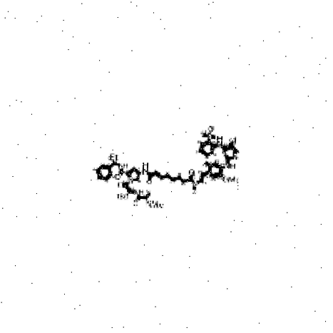 CC[C@@H](NC(=O)[C@@H]1C[C@H](NC(=O)CCCCCCC(=O)N(C)CCc2cc(OC)c(Nc3ncc(Cl)c(Nc4ccccc4P(C)(C)=O)n3)cc2C)CN1C(=O)[C@@H](NC(=O)[C@H](C)NC)C(C)(C)C)c1ccccc1